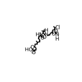 CNC(=O)OC(C/C=C\NC(=O)C(NC(=O)\C=C/C=C\C(C)=C\CC1CC=C(OC)C(O)O1)C(C)(C)C)C/C=C(\C)Cl